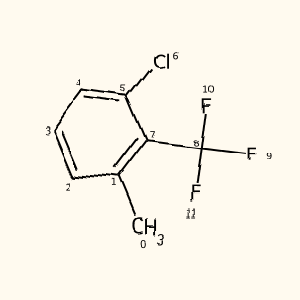 Cc1cccc(Cl)c1C(F)(F)F